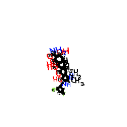 CN(C)c1cc(NCc2cc(F)cc(F)c2)c(O)c2c1C[C@H]1C[C@H]3CC(O)C(C(N)=O)C(=O)[C@@]3(O)C(O)=C1C2=O